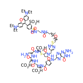 CCN(CC)c1ccc2c(-c3ccc(S(=O)(=O)NCCNC(=O)CCC[Si](C)(C)O[Si](C)(C)CSc4ncc(CN5C(=O)CC(SC[C@H](NC(=O)[C@H](CN)NC(=O)[C@H](CC(=O)O)NC(=O)CC[C@H](NC(=O)c6ccc(NCc7cnc8nc(N)[nH]c(=O)c8n7)cc6)C(=O)O)C(=O)O)C5=O)cn4)cc3S(=O)(=O)O)c3ccc(=[N+](CC)CC)cc-3oc2c1